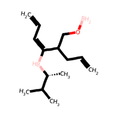 BOCC(CC=C)/C(B[C@H](C)C(C)C)=C\C=C